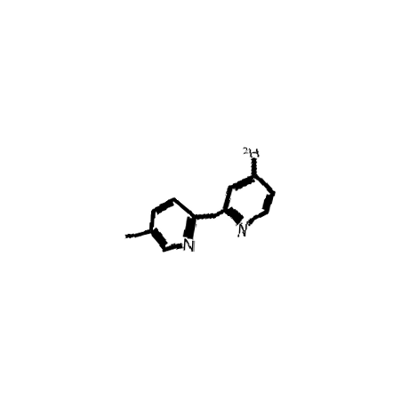 [2H]c1ccnc(-c2ccc(C)cn2)c1